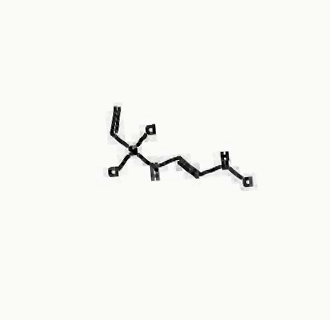 C=C[Si](Cl)(Cl)NC=CBCl